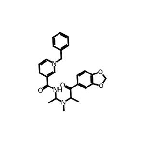 CC(NC(=O)C1=CN(Cc2ccccc2)C=CC1)N(C)C(C)C(=O)c1ccc2c(c1)OCO2